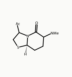 CNC1CC[C@H]2SCC(C(C)=O)N2C1=O